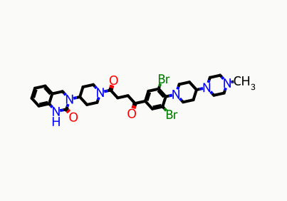 CN1CCN(C2CCN(c3c(Br)cc(C(=O)CCC(=O)N4CCC(N5Cc6ccccc6NC5=O)CC4)cc3Br)CC2)CC1